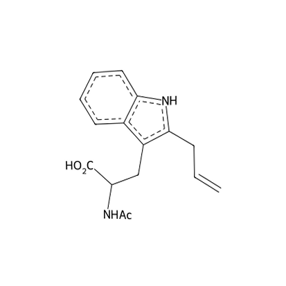 C=CCc1[nH]c2ccccc2c1CC(NC(C)=O)C(=O)O